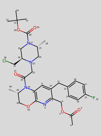 CC(=O)OCc1nc2c(cc1Cc1ccc(F)cc1)N(C(=O)CN1C[C@@H](C)N(C(=O)OC(C)(C)C)C[C@@H]1CCl)[C@@H](C)CO2